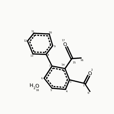 CC(=O)c1cccc(-c2ccccc2)c1C(C)=O.O